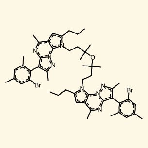 CCCc1cc2c(C)nc3c(-c4c(C)cc(C)cc4Br)c(C)nn3c2n1CCC(C)(C)OC(C)(C)CCn1c(CCC)cc2c(C)nc3c(-c4c(C)cc(C)cc4Br)c(C)nn3c21